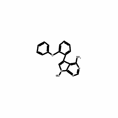 CC(C)(C)n1cc(-c2ccccc2Oc2ccccc2)c2c(N)ncnc21